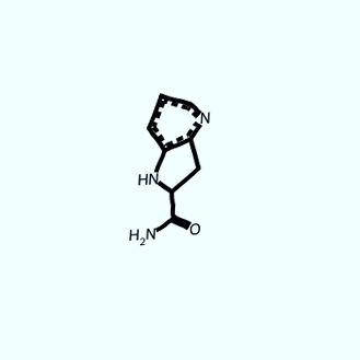 NC(=O)C1Cc2ncccc2N1